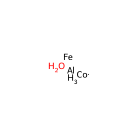 O.[AlH3].[Co].[Fe]